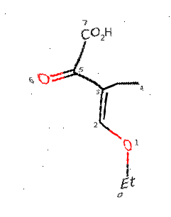 CCO/C=C(\C)C(=O)C(=O)O